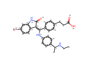 CCNC(C)c1ccc(NC(=C2C(=O)Nc3cc(Br)ccc32)c2ccc(CCC(=O)O)cc2)cc1